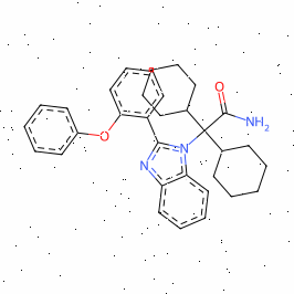 NC(=O)C(C1CCCCC1)(C1CCCCC1)n1c(-c2ccccc2Oc2ccccc2)nc2ccccc21